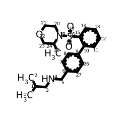 CC(C)CNCc1ccc(-c2ccccc2S(=O)(=O)N2CCOCC2C)cc1